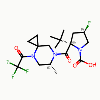 C[C@@H]1CN(C(=O)C(F)(F)F)C2(CC2)CN1C(=O)[C@@]1(C(C)(C)C)C[C@@H](F)CN1C(=O)O